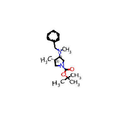 C[C@H]1CN(C(=O)OC(C)(C)C)C[C@@H]1N(C)Cc1ccccc1